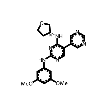 COc1cc(Nc2ncc(-c3cncnc3)c(N[C@@H]3CCOC3)n2)cc(OC)c1